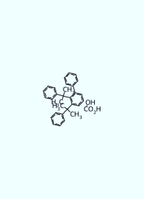 CC(C)(c1ccccc1)c1cccc(-c2ccccc2)c1C(C)(C)c1ccccc1.O=C(O)O